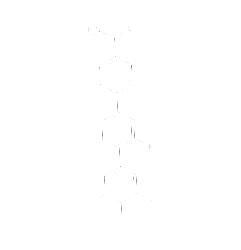 CCC(N)c1ccc(-c2cc(F)c(-c3cc(F)c(F)c(F)c3)c(F)c2)cc1